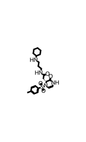 Cc1ccc(S(=O)(=O)N2C=CNC(=O)[C@H]2CC(=O)NCCCNC2CCCCC2)cc1